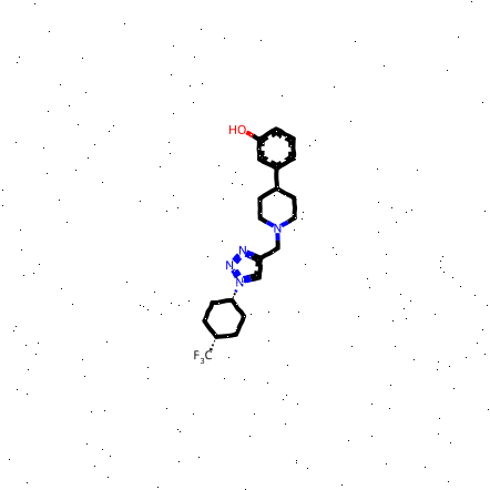 Oc1cccc(C2CCN(Cc3cn([C@H]4CC[C@@H](C(F)(F)F)CC4)nn3)CC2)c1